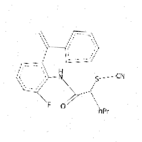 C=C(c1ccccc1)c1cccc(F)c1NC(=O)C(CCC)SC#N